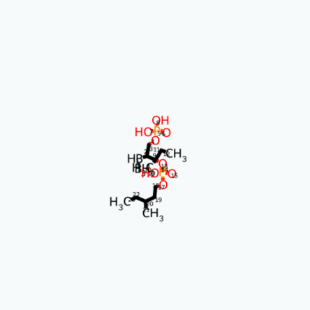 BBC(COP(=O)(O)O)C(C)(CC)OP(=O)(O)OCCC(C)CC